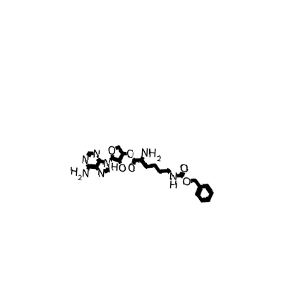 Nc1ncnc2c1ncn2C1OCC(OC(=O)C(N)CCCCNC(=O)OCc2ccccc2)C1O